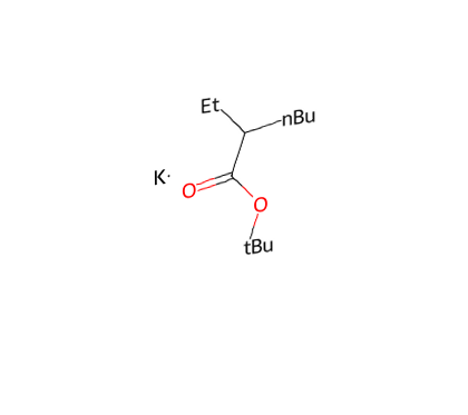 CCCCC(CC)C(=O)OC(C)(C)C.[K]